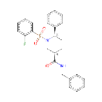 O=C(NCc1ccccc1)[C@@H]1CC[C@H](c2ccccc2)N(S(=O)(=O)c2ccccc2F)C1